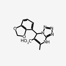 CC1=C(C(=O)O)C(c2cccc3c2OCO3)n2nnnc2N1